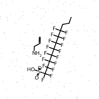 C=CCN.CCCC(F)(F)C(F)(F)C(F)(F)C(F)(F)C(F)(F)C(F)(F)C(F)(F)C(F)(F)S(=O)(=O)O